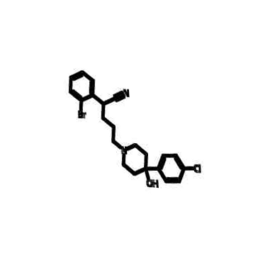 N#CC(CCCN1CCC(O)(c2ccc(Cl)cc2)CC1)c1ccccc1Br